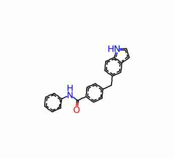 O=C(Nc1ccccc1)c1ccc(Cc2ccc3[nH]ccc3c2)cc1